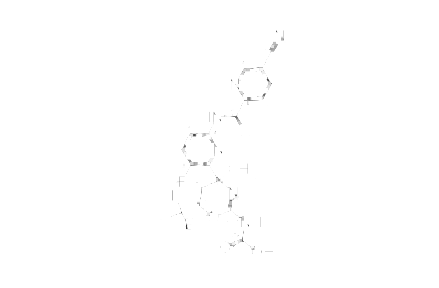 C[C@@]1(c2nc(NC(=O)c3ccc(C#N)cn3)ccc2F)C[C@@H](C(F)(F)F)OC(NC(=O)O)=N1